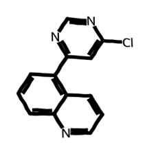 Clc1cc(-c2cccc3ncccc23)ncn1